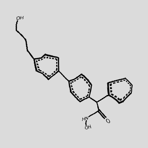 O=C(NO)C(c1ccccc1)c1ccc(-c2ccc(CCCO)cc2)cc1